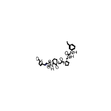 CCc1cccc(NC(=O)NC[C@@H]2CCCN2C(=O)CN2CCC[C@H](NS(=O)(=O)/C=C/c3ccc(Cl)s3)C2=O)c1